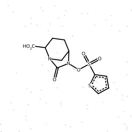 O=C(O)C1CCC2CN1C(=O)N2OS(=O)(=O)c1cccs1